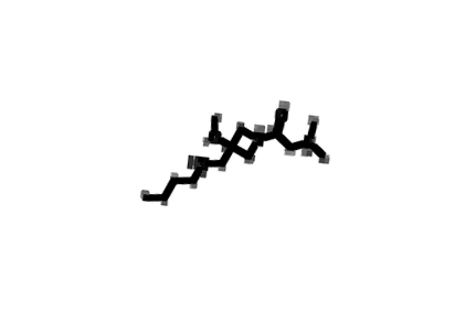 CCCCNCC1(OC)CN(C(=O)CN(C)C)C1